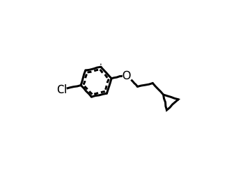 Clc1c[c]c(OCCC2CC2)cc1